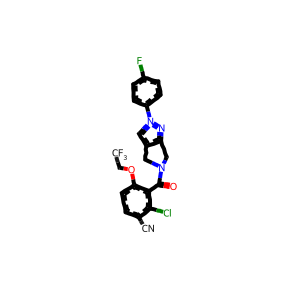 N#Cc1ccc(OCC(F)(F)F)c(C(=O)N2Cc3cn(-c4ccc(F)cc4)nc3C2)c1Cl